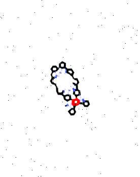 CCn1c2ccccc2c2ccc(-c3ccc4c5ccc6cc5n(c4c3)Cn3c4cc(ccc4c4ccc(-c5ccc7c8ccccc8n(C)c7c5)cc43)-c3ccc4c(c3)N(Cn3c5ccccc5c5ccc-6cc53)c3ccccc3C4)cc21